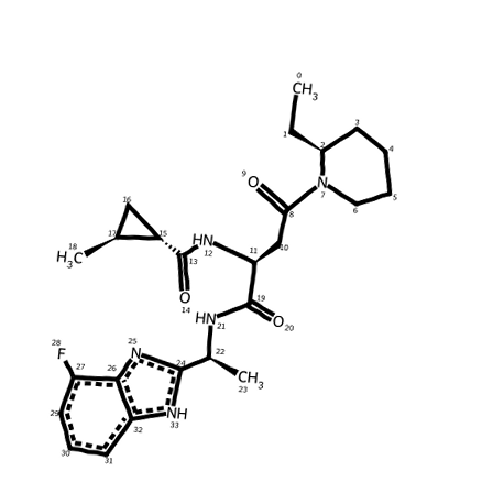 CC[C@H]1CCCCN1C(=O)C[C@H](NC(=O)[C@H]1C[C@@H]1C)C(=O)N[C@@H](C)c1nc2c(F)cccc2[nH]1